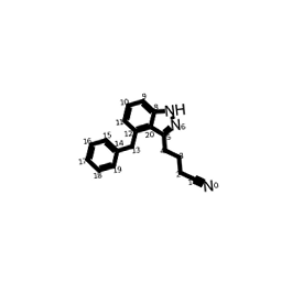 N#CCCCc1n[nH]c2cccc(Cc3ccccc3)c12